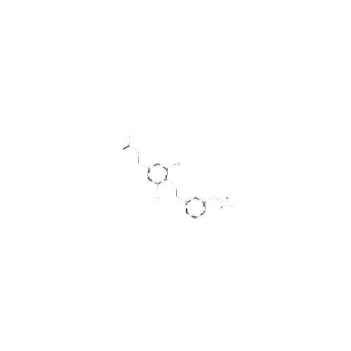 CS(=O)(=O)Nc1cccc(COc2c(Br)cc(CCC(=O)O)cc2Br)c1